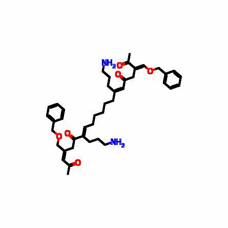 CC(=O)/C=C(/COCc1ccccc1)CC(=O)/C(=C/CCCCC/C(=C/C(=O)C/C(=C\OCc1ccccc1)C(C)=O)CCCN)CCCN